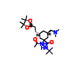 CC(=O)NC1(C(=O)NC(C)(C)C)C[C@H](CCB2OC(C)(C)C(C)(C)O2)C[C@@H](CN(C)C)C1